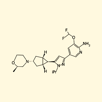 CC(C)n1nc(-c2cnc(N)c(OC(F)F)c2)cc1[C@H]1[C@@H]2C[C@H](N3CCO[C@H](C)C3)C[C@@H]21